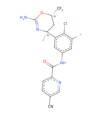 C[C@@]1(c2cc(NC(=O)c3ccc(C#N)cn3)cc(F)c2Cl)C[C@@H](C(F)(F)F)OC(N)=N1